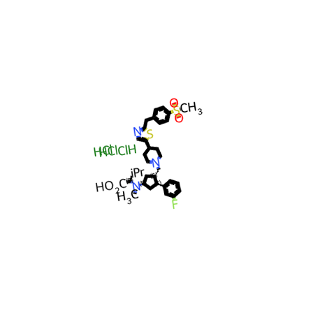 CC(C)[C@H](C(=O)O)N(C)[C@H]1C[C@H](CN2CCC(c3cnc(Cc4ccc(S(C)(=O)=O)cc4)s3)CC2)[C@@H](c2cccc(F)c2)C1.Cl.Cl.Cl